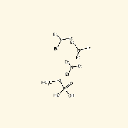 CCN(CC)CC.CCN(CC)CC.CCN(CC)CC.O=C(O)OP(=O)(O)O